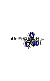 CCCCCCCCCCCCCCCCC(C(=O)O)C(C(=O)O)(C1CC(C)(C)N(C)C(C)(C)C1)C(C(=O)O)(C1CC(C)(C)N(C)C(C)(C)C1)C(C(=O)O)C1CC(C)(C)N(C)C(C)(C)C1